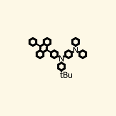 CC(C)(C)c1ccc(N(c2ccc(-c3c4ccccc4c(-c4ccccc4)c4ccccc34)cc2)c2ccc(N(c3ccccc3)c3ccccc3)cc2)cc1